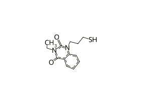 CCn1c(=O)c2ccccc2n(CCCS)c1=O